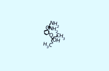 CCCC(O)(CCC)COc1cccc(O[C@H](N)CN)c1